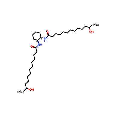 CCCCCCC(O)CCCCCCCCCCC(=O)N[C@H]1CCCC[C@@H]1NC(=O)CCCCCCCCCCC(O)CCCCCC